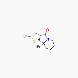 CC(C)C12CCCCN1C(=O)c1cc(Br)sc12